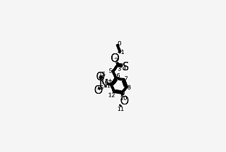 CCOC(=S)Cc1ccc(OC)cc1[N+](=O)[O-]